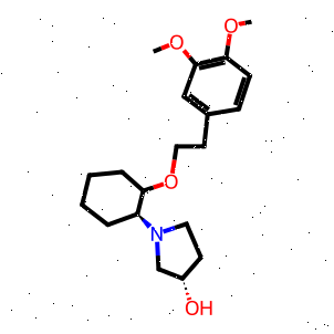 COc1ccc(CCOC2CCCC[C@@H]2N2CC[C@H](O)C2)cc1OC